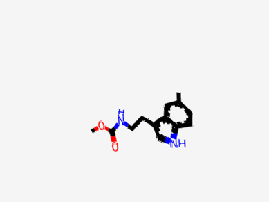 COC(=O)NCCc1c[nH]c2ccc(C)cc12